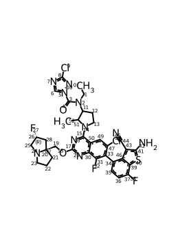 CCN(C(=O)n1cnc(Cl)n1)C1CCN(c2nc(OC[C@@]34CCCN3C[C@H](F)C4)nc3c(F)c(-c4ccc(F)c5sc(N)c(C#N)c45)c(Cl)cc23)C1C